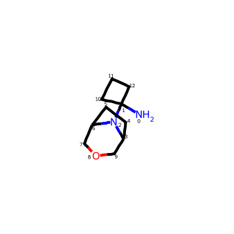 NC1(N2C3CCC2COC3)CCC1